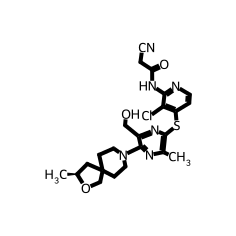 Cc1nc(N2CCC3(CC2)CO[C@@H](C)C3)c(CO)nc1Sc1ccnc(NC(=O)CC#N)c1Cl